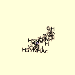 CC(=O)Nc1cc(S)cc2cc(S)c(/N=N/c3ccc(C(=O)Nc4cccc(S(=O)(=O)CCO)c4)cc3)c(O)c12